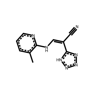 Cc1cccnc1NC=C(C#N)c1nnn[nH]1